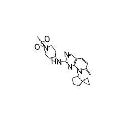 C=C1C=Cc2cnc(NC3CCN(S(C)(=O)=O)CC3)nc2N1C1CCCC12CC2